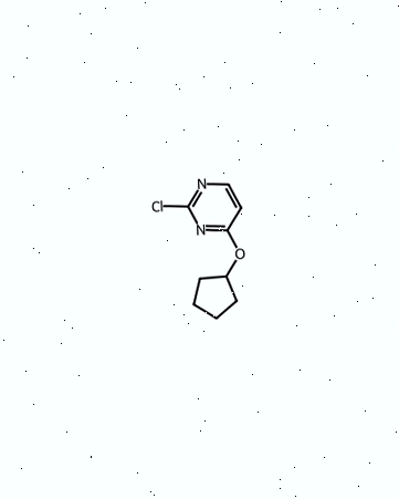 Clc1nccc(OC2CCCC2)n1